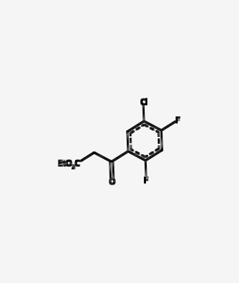 CCOC(=O)CC(=O)c1cc(Cl)c(F)cc1F